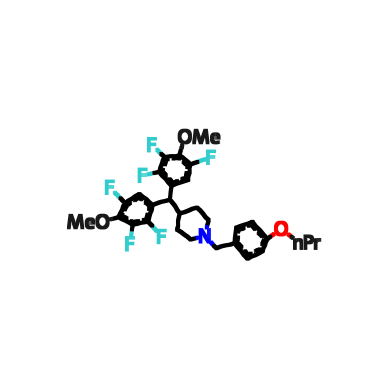 CCCOc1ccc(CN2CCC(C(c3cc(F)c(OC)c(F)c3F)c3cc(F)c(OC)c(F)c3F)CC2)cc1